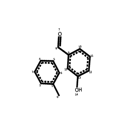 Cc1ccccc1.O=Cc1cccc(O)c1